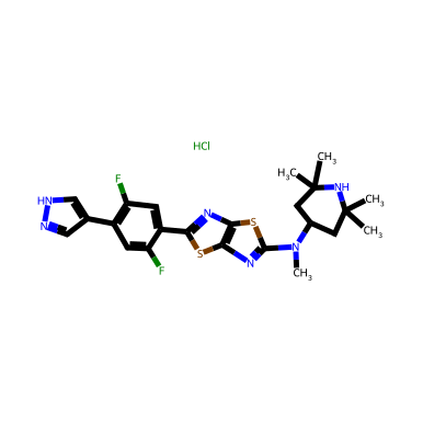 CN(c1nc2sc(-c3cc(F)c(-c4cn[nH]c4)cc3F)nc2s1)C1CC(C)(C)NC(C)(C)C1.Cl